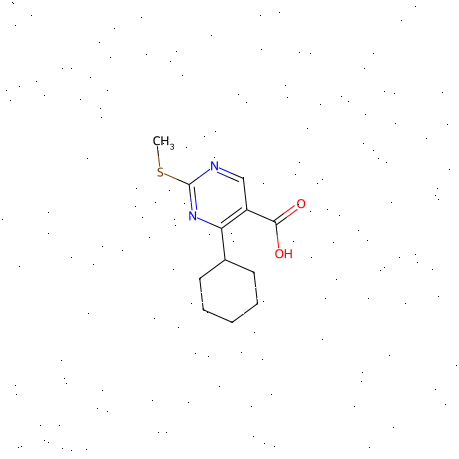 CSc1ncc(C(=O)O)c(C2CCCCC2)n1